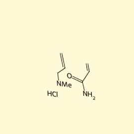 C=CC(N)=O.C=CCNC.Cl